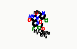 CCCc1ncc(Cl)c(OCCO[Si](C)(C)C(C)(C)C)c1-n1c(=O)[nH]c(=O)c2cc(F)c(Cl)nc21